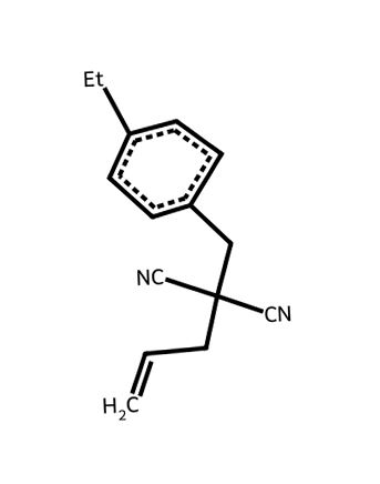 C=CCC(C#N)(C#N)Cc1ccc(CC)cc1